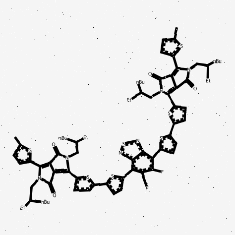 CCCCC(CC)CN1C(=O)C2=C(c3ccc(-c4ccc(-c5c(F)c(F)c(-c6ccc(-c7ccc(C8=C9C(=O)N(CC(CC)CCCC)C(c%10ccc(C)s%10)=C9C(=O)N8CC(CC)CCCC)s7)s6)c6nsnc56)s4)s3)N(CC(CC)CCCC)C(=O)C2=C1c1ccc(C)s1